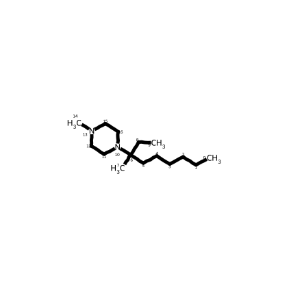 CCCCCCC(C)(CC)N1CCN(C)CC1